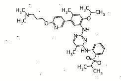 Cc1cc(OC(C)C)c(Nc2ncc(C)c(Nc3ccccc3S(=O)(=O)C(C)C)n2)cc1-c1ccc(OCCCN(C)C)nc1